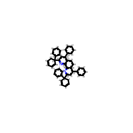 C1=CCC(c2ccccc2)(c2cc(-c3ccccc3)c3ccc4c(-c5ccccc5)cc(C5(c6ccccc6)C=CC=CC5)nc4c3n2)C=C1